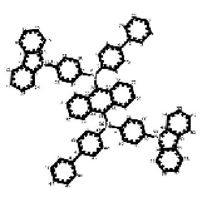 c1ccc(-c2ccc(N(c3ccc(-n4c5ccccc5c5ccccc54)cc3)c3c4ccccc4c(N(c4ccc(-c5ccccc5)cc4)c4ccc(-n5c6ccccc6c6ccccc65)cc4)c4ccccc34)cc2)cc1